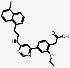 CCOc1cc(-c2cc(NCCc3cccc4c(F)cccc34)ncn2)ccc1CC(=O)O